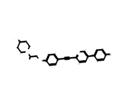 CC1CCN(C(C)COc2ccc(C#Cc3ccc(-c4ccc(Cl)cc4)cn3)cc2)CC1